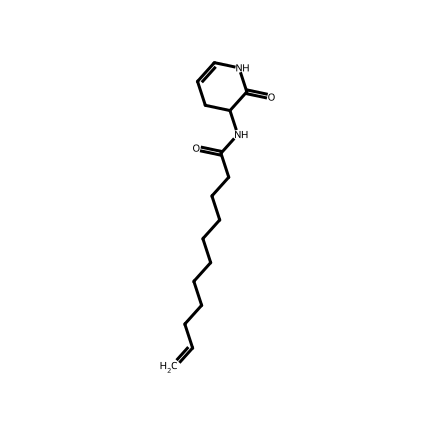 C=CCCCCCCCCC(=O)NC1CC=CNC1=O